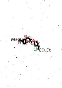 CCOC(=O)C(Cl)Cc1ccc(OC(C)C2(C)CC(=O)c3cc(C(=O)OC)ccc3O2)cc1